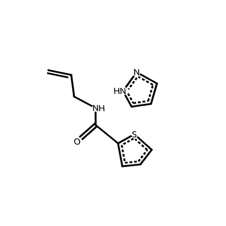 C=CCNC(=O)c1cccs1.c1cn[nH]c1